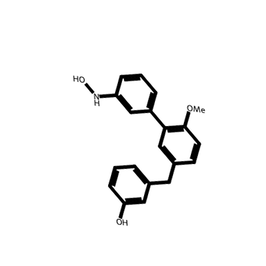 COc1ccc(Cc2cccc(O)c2)cc1-c1cccc(NO)c1